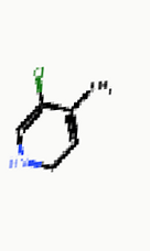 CC1=CCNC=C1Cl